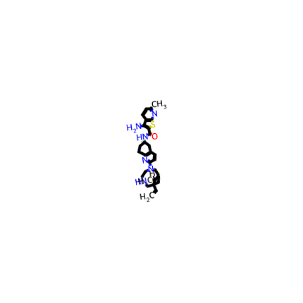 C=CC12CNCCN(c3ccc4c(n3)CC[C@H](NC(=O)c3sc5nc(C)ccc5c3N)C4)CC(C1)[C@H]2C